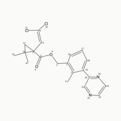 Cc1c(COC(=O)C2(C=C(Cl)Cl)CC2(C)C)cccc1-c1cnccn1